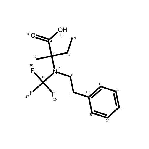 CCC(C)(C(=O)O)N(CCc1ccccc1)C(F)(F)F